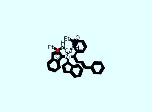 CCC(=O)[NH][Ga]([NH]C(=O)CC)[Zr]([C](=CC=Cc1ccccc1)c1ccccc1)([CH]1C=Cc2ccccc21)[CH]1C=Cc2ccccc21